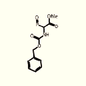 COC(=O)C(NC(=O)OCc1ccccc1)P=O